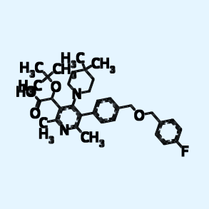 Cc1nc(C)c(C(OC(C)(C)C)C(=O)O)c(N2CCC(C)(C)CC2)c1-c1ccc(COCc2ccc(F)cc2)cc1